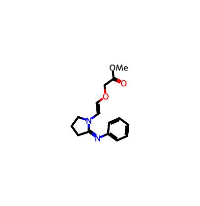 COC(=O)COC=CN1CCCC1=Nc1ccccc1